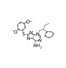 CCC(Cn1cnc(N)c2nc(Sc3cc(OC)ccc3OC)nc1-2)c1ccccc1